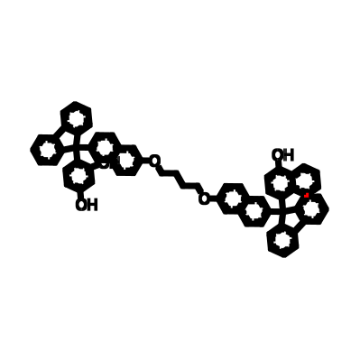 Oc1ccc(C2(c3ccc4cc(OCCCCOc5ccc6cc(C7(c8ccc(O)c9ccccc89)c8ccccc8-c8ccccc87)ccc6c5)ccc4c3)c3ccccc3-c3ccccc32)c(O)c1